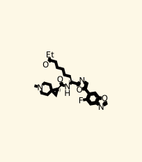 CCC(=O)CCCCC[C@H](NC(=O)[C@H]1CC12CCN(C)CC2)c1ncc(-c2cc3ocnc3cc2F)o1